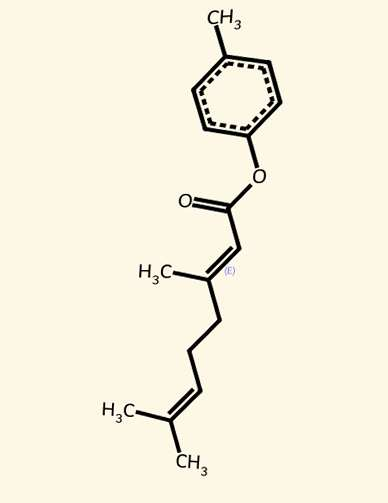 CC(C)=CCC/C(C)=C/C(=O)Oc1ccc(C)cc1